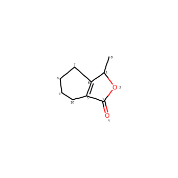 CC1OC(=O)C2=C1CCCC2